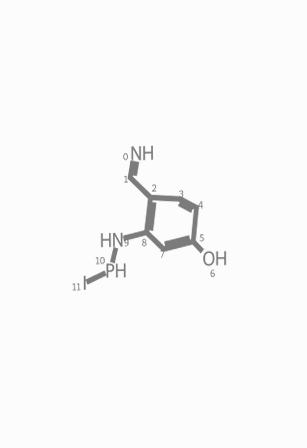 N=Cc1ccc(O)cc1NPI